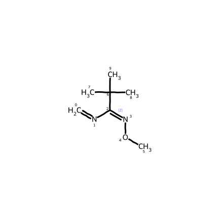 C=N/C(=N\OC)C(C)(C)C